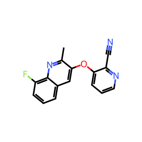 Cc1nc2c(F)cccc2cc1Oc1cccnc1C#N